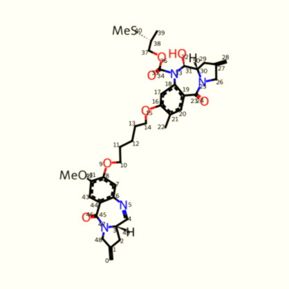 C=C1C[C@H]2C=Nc3cc(OCCCCCOc4cc5c(cc4C)C(=O)N4CC(=C)C[C@H]4[C@H](O)N5C(=O)OC[C@@H](C)SC)c(OC)cc3C(=O)N2C1